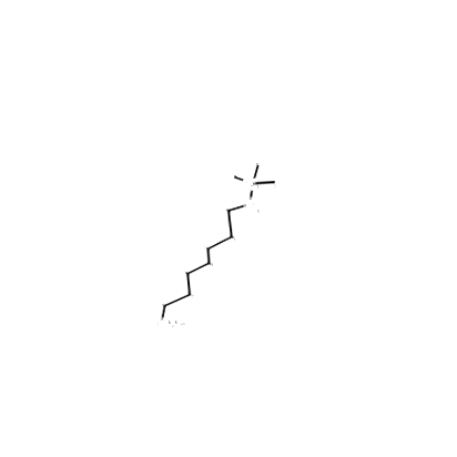 COCCCCCCCO[Si](C)(C)C